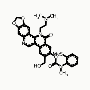 CSc1ccccc1N(C)C(=O)Oc1cc2c(=O)n(CCN(C)C)c3c4cc5c(cc4ncc3c2cc1CO)OCO5